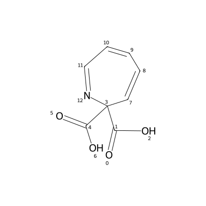 O=C(O)C1(C(=O)O)C=CC=CC=N1